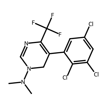 CN(C)N1C=NC(C(F)(F)F)=C(c2cc(Cl)cc(Cl)c2Cl)C1